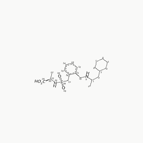 CC(CC1CCCCC1)NCc1ccccc1CS(=O)(=O)N[C@H](C)C(=O)O